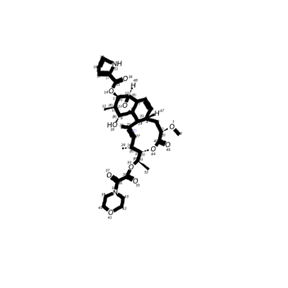 CO[C@H]1C[C@H]2C=CC3C4[C@H](O)[C@@H](C)[C@@H](OC(=O)c5ccc[nH]5)[C@@H]3O[C@]42/C(C)=C/[C@@H](C)[C@@H]([C@@H](C)OC(=O)C(=O)N2CCOCC2)OC1=O